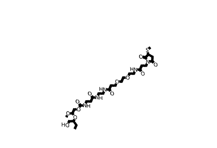 CCC(CO)OC(COC(=O)NCCC(=O)NCCNC(=O)CCOCCOCCNC(=O)CCN1C(=O)CC(SC)C1=O)OC